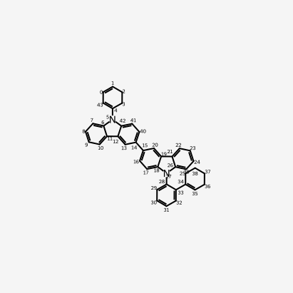 C1=CCCC(n2c3ccccc3c3cc(-c4ccc5c(c4)c4ccccc4n5-c4ccccc4C4=CCCCC4)ccc32)=C1